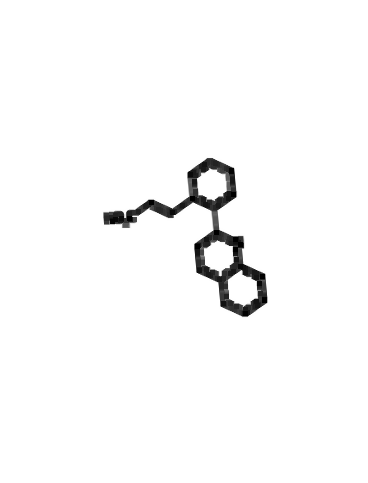 O=C(O)C=Cc1ccccc1-c1ccc2ccccc2n1